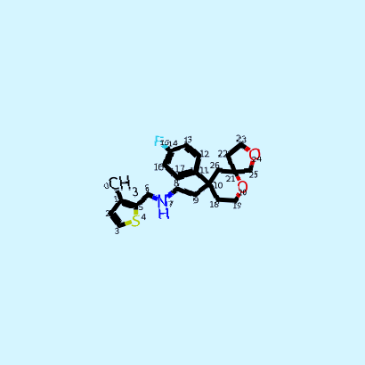 Cc1ccsc1CNCCC1(c2ccc(F)cc2)CCOC2(CCOC2)C1